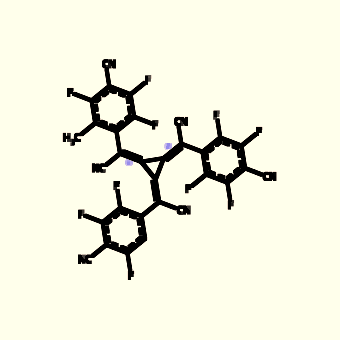 Cc1c(F)c(C#N)c(F)c(F)c1/C(C#N)=C1/C(=C(C#N)c2cc(F)c(C#N)c(F)c2F)/C1=C(/C#N)c1c(F)c(F)c(C#N)c(F)c1F